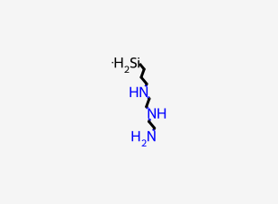 NCCNCCNCCC[SiH2]